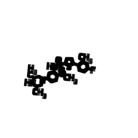 COc1ccc(N2CC(C)NC(C)C2)cc1NS(=O)(=O)c1ccc(-c2ccc(F)cc2C)s1